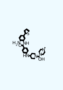 CN1CCN(C(O)N2CCC(Nc3ccc(C(=O)Nc4cc(-c5cccs5)ccc4N)cc3)CC2)CC1